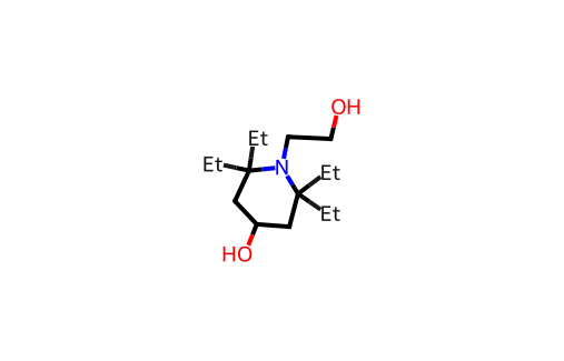 CCC1(CC)CC(O)CC(CC)(CC)N1CCO